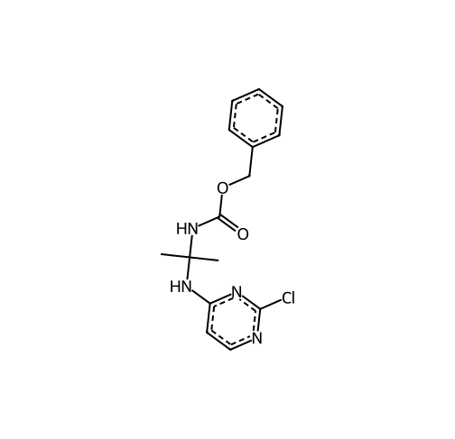 CC(C)(NC(=O)OCc1ccccc1)Nc1ccnc(Cl)n1